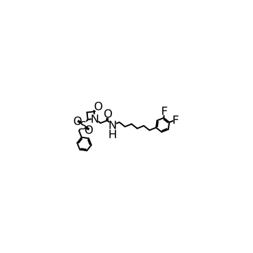 O=C(CN1C(=O)CC1S(=O)(=O)Cc1ccccc1)NCCCCCCc1ccc(F)c(F)c1